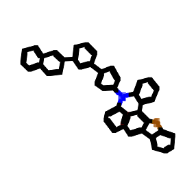 c1ccc(N(c2ccc(-c3cccc(-c4ccc5ccccc5c4)c3)cc2)c2ccccc2-c2cccc3c2sc2ccccc23)cc1